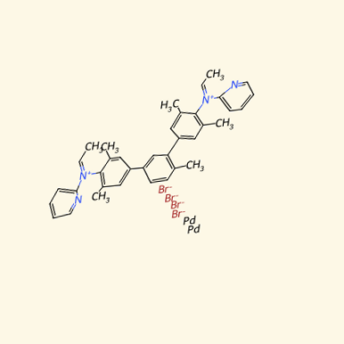 CC=[N+](c1ccccn1)c1c(C)cc(-c2ccc(C)c(-c3cc(C)c([N+](=CC)c4ccccn4)c(C)c3)c2)cc1C.[Br-].[Br-].[Br-].[Br-].[Pd].[Pd]